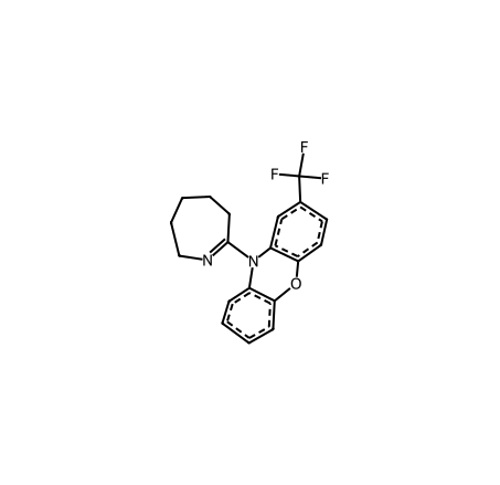 FC(F)(F)c1ccc2c(c1)N(C1=NCCCCC1)c1ccccc1O2